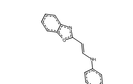 C(=Cc1nc2ccccc2o1)Nc1ccccc1